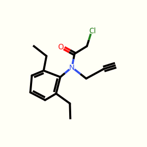 C#CCN(C(=O)CCl)c1c(CC)cccc1CC